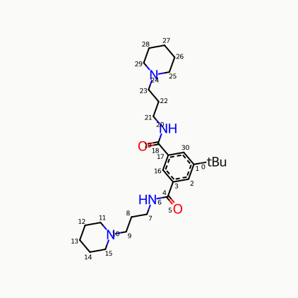 CC(C)(C)c1cc(C(=O)NCCCN2CCCCC2)cc(C(=O)NCCCN2CCCCC2)c1